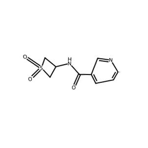 O=C(NC1CS(=O)(=O)C1)c1cc[c]nc1